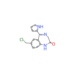 O=C1CN=C(c2ccc[nH]2)c2cc(CCl)ccc2N1